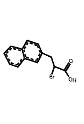 O=C(O)C(Br)Cc1ccc2ccccc2c1